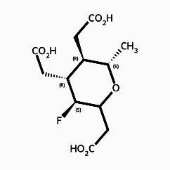 C[C@@H]1OC(CC(=O)O)[C@@H](F)[C@H](CC(=O)O)[C@H]1CC(=O)O